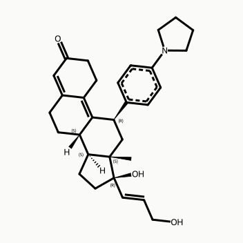 C[C@]12C[C@H](c3ccc(N4CCCC4)cc3)C3=C4CCC(=O)C=C4CC[C@H]3[C@@H]1CC[C@@]2(O)C=CCO